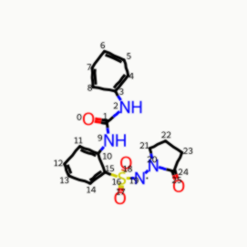 O=C(Nc1ccccc1)Nc1ccccc1S(=O)(=O)[N]N1CCCC1=O